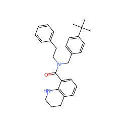 CC(C)(C)c1ccc(CN(CCc2ccccc2)C(=O)c2cccc3c2NCCC3)cc1